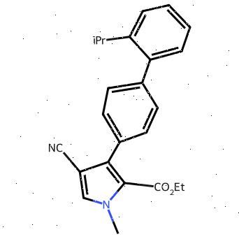 CCOC(=O)c1c(-c2ccc(-c3ccccc3C(C)C)cc2)c(C#N)cn1C